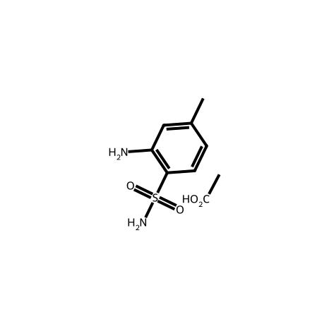 CC(=O)O.Cc1ccc(S(N)(=O)=O)c(N)c1